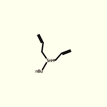 C=C[CH2][SnH]([CH2]C=C)[CH2]CCC